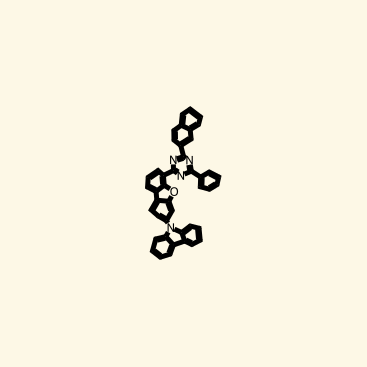 c1ccc(-c2nc(-c3ccc4ccccc4c3)nc(-c3cccc4c3oc3cc(-n5c6ccccc6c6ccccc65)ccc34)n2)cc1